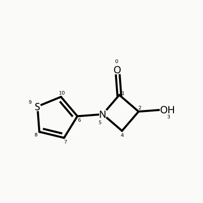 O=C1C(O)CN1c1ccsc1